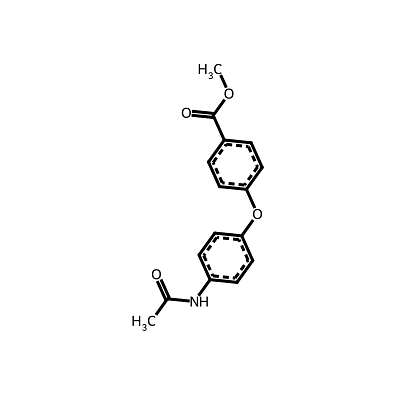 COC(=O)c1ccc(Oc2ccc(NC(C)=O)cc2)cc1